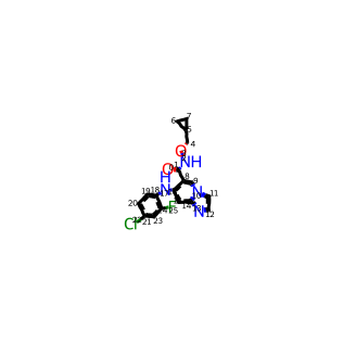 O=C(NOCC1CC1)c1cn2ccnc2cc1Nc1ccc(Cl)cc1F